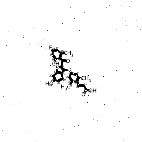 Cc1cc(Oc2c(C(=O)c3c(C)cc(F)cc3C)sc3cc(O)ccc23)cc(C)c1/C=C/C(=O)O